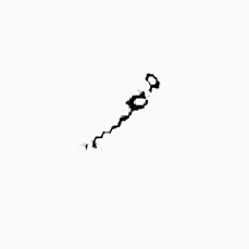 CCOC(=O)CCCCCCC=Cc1ccc(OCc2ccccc2)cc1